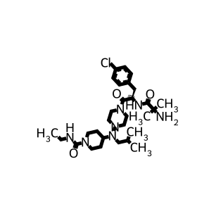 CCNC(=O)N1CCC(N(CC(C)C)N2CCN(C(=O)[C@@H](Cc3ccc(Cl)cc3)NC(=O)C(C)(C)N)CC2)CC1